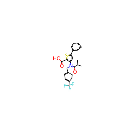 CC(C)C(=O)N(CC1=CC=C(C(F)(F)F)CC1)c1cc(-c2ccccc2)sc1C(=O)O